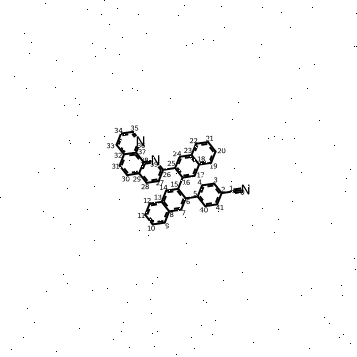 N#Cc1ccc(-c2cc3ccccc3cc2-c2cc3ccccc3cc2-c2ccc3ccc4cccnc4c3n2)cc1